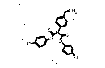 CCc1ccc(N(C(=S)Oc2ccc(Cl)cc2)C(=S)Oc2ccc(Cl)cc2)cc1